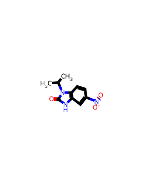 CC(C)n1c(=O)[nH]c2cc([N+](=O)[O-])ccc21